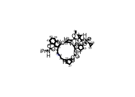 C=C[C@@H]1C[C@]1(NC(=O)[C@@H]1C[C@@H]2CN1C(=O)[C@H](C1CCCC1)NC(=O)O[C@@H]1CCC[C@H]1CC/C=C/Cc1c(nc3ccccc3c1OC(=O)NC(C)C)O2)C(=O)NS(=O)(=O)C1CC1